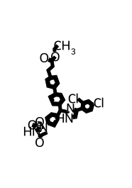 CCOC(=O)CCc1ccc(-c2ccc(C(c3ccc(N4CC(=O)NS4(=O)=O)cc3)c3nc(-c4ccc(Cl)cc4Cl)c[nH]3)cc2)cc1